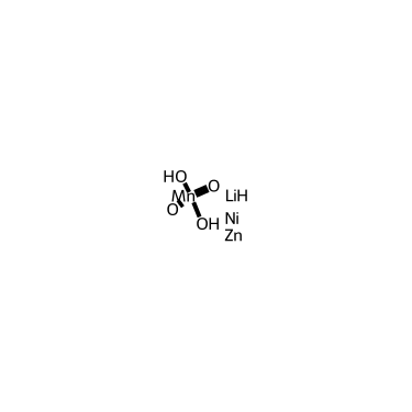 [LiH].[Ni].[O]=[Mn](=[O])([OH])[OH].[Zn]